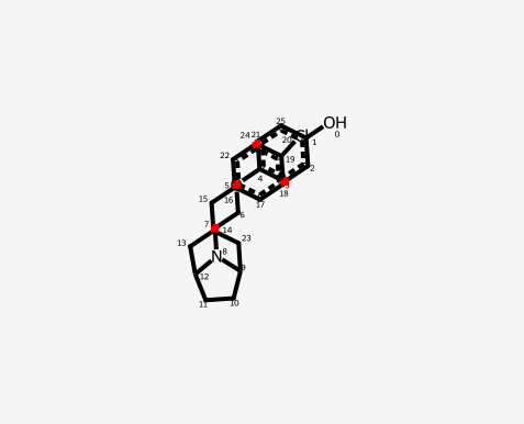 Oc1ccc(OCCN2C3CCC2CC(Cc2ccc(Cl)cc2)C3)cc1